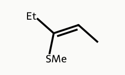 CC=C(CC)SC